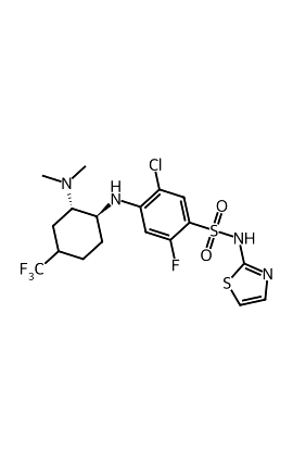 CN(C)[C@H]1CC(C(F)(F)F)CC[C@@H]1Nc1cc(F)c(S(=O)(=O)Nc2nccs2)cc1Cl